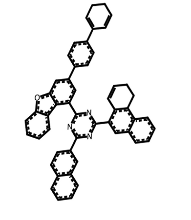 C1=CC(c2ccc(-c3cc(-c4nc(-c5ccc6ccccc6c5)nc(-c5cc6ccccc6c6c5C=CCC6)n4)c4c(c3)oc3ccccc34)cc2)=CCC1